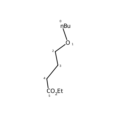 CCCCOCCCC(=O)OCC